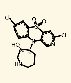 O=S1(=O)c2cc(Cl)ccc2N([C@H]2CCCNC[C@@H]2O)c2cnc(Cl)cc21